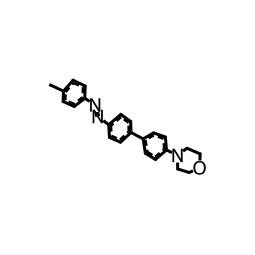 Cc1ccc(N=Nc2ccc(-c3ccc(N4CCOCC4)cc3)cc2)cc1